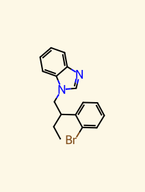 CCC(Cn1cnc2ccccc21)c1ccccc1Br